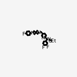 CCON=C(c1ccc(F)c(F)c1)c1ccc(CN2CC3(C2)CN(c2ccc(F)cc2)C3)cn1